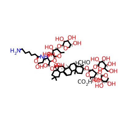 CC1O[C@@H](OC2C(O)[C@@H](NC(=O)CCCCCN)C(CO)O[C@H]2OC(=O)[C@]23CCC(C)(C)CC2C2=CCC4C5(C)CC[C@H](O[C@@H]6OC(C(=O)O)[C@@H](O)[C@H](O[C@@H]7OC[C@@H](O)[C@H](O)C7O)C6O[C@@H]6OC(CO)[C@H](O)[C@H](O)C6O)[C@](C)(C=O)[C@@H]5CC[C@]4(C)[C@]2(C)CC3O)C(O)C(O)[C@H]1O[C@@H]1OC[C@@H](O)C(O)C1O